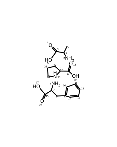 CC(N)C(=O)O.NC(Cc1ccccc1)C(=O)O.O=C(O)C1CCCN1